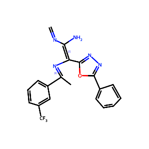 C=N/C(N)=C(\N=C(/C)c1cccc(C(F)(F)F)c1)c1nnc(-c2ccccc2)o1